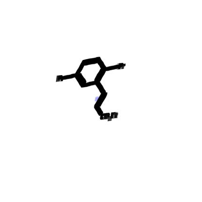 CCOC(=O)/C=C/c1cc(C(C)C)ccc1C(C)C